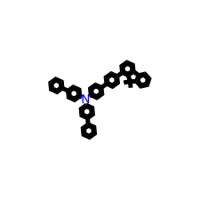 CC1(C)c2ccccc2-c2cccc(-c3ccc(-c4ccc(N(c5ccc(-c6ccccc6)cc5)c5ccc(-c6ccccc6)cc5)cc4)cc3)c21